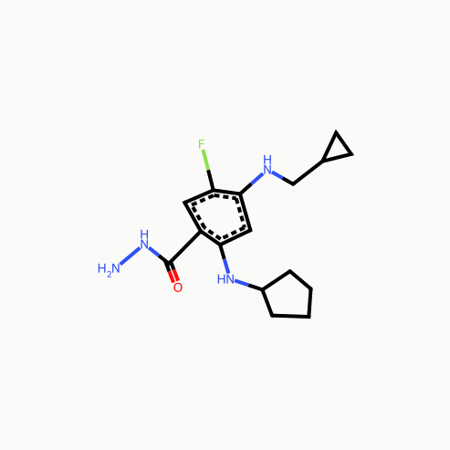 NNC(=O)c1cc(F)c(NCC2CC2)cc1NC1CCCC1